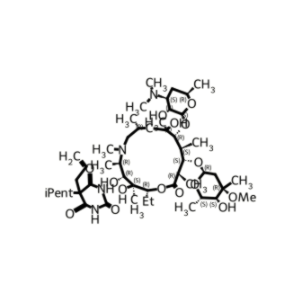 C=CCC1(C(C)CCC)C(=O)NC(=O)NC1=O.CC[C@H]1OC(=O)[C@H](C)[C@@H](O[C@H]2C[C@@](C)(OC)[C@@H](O)[C@H](C)O2)[C@H](C)[C@@H](O[C@@H]2O[C@H](C)C[C@H](N(C)C)[C@H]2O)[C@](C)(O)C[C@@H](C)CN(C)[C@H](C)[C@@H](O)[C@]1(C)O